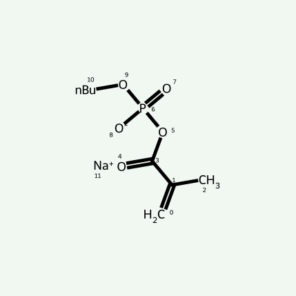 C=C(C)C(=O)OP(=O)([O-])OCCCC.[Na+]